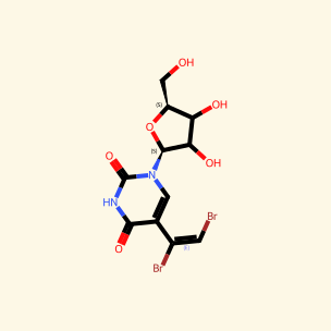 O=c1[nH]c(=O)n([C@H]2O[C@@H](CO)C(O)C2O)cc1/C(Br)=C\Br